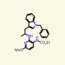 CCOC(=O)Nc1ccc(OC)nc1NC(C)Cc1cn(Cc2ccccc2)c2ccccc12